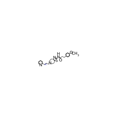 COc1ccc(CCC(=O)Nc2nc3c(s2)CCN(C/C=C/c2ccccn2)CC3)cc1